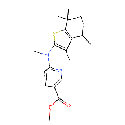 COC(=O)c1ccc(N(C)c2sc3c(c2C)C(C)CCC3(C)C)nc1